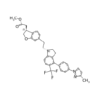 COC(=O)C[C@@H]1COc2cc(CC[C@@H]3CCc4c3ccc(C(F)(F)F)c4-c3ccc(-n4ccc(C)n4)cc3)ccc21